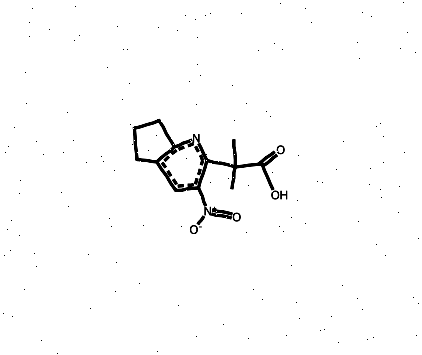 CC(C)(C(=O)O)c1nc2c(cc1[N+](=O)[O-])CCC2